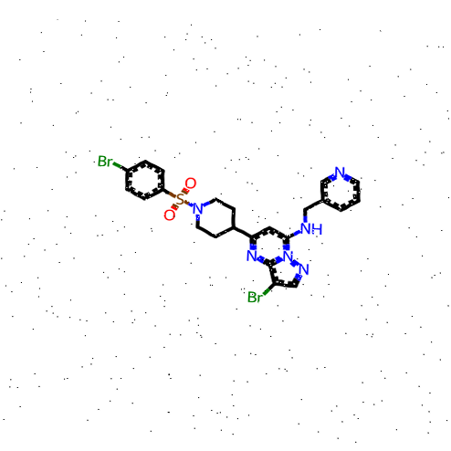 O=S(=O)(c1ccc(Br)cc1)N1CCC(c2cc(NCc3cccnc3)n3ncc(Br)c3n2)CC1